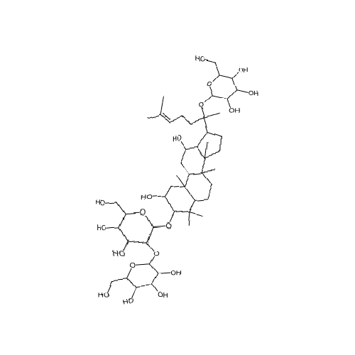 CC(C)=CCCC(C)(OC1OC(CO)C(O)C(O)C1O)C1CCC2(C)C1C(O)CC1C3(C)CC(O)C(OC4OC(CO)C(O)C(O)C4OC4OC(CO)C(O)C(O)C4O)C(C)(C)C3CCC12C